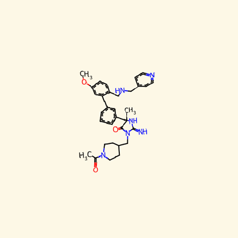 COc1ccc(CNCc2ccncc2)c(-c2cccc(C3(C)NC(=N)N(CC4CCN(C(C)=O)CC4)C3=O)c2)c1